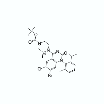 Cc1cccc(C(C)C)c1-n1c(=O)nc(N2CCN(C(=O)OC(C)(C)C)C[C@@H]2C)c2cc(Cl)c(Br)cc21